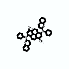 CC1=CC(N(c2ccccc2)c2ccc3ccccc3n2)C2=CCc3c(C)cc(N(c4ccccc4)c4ccc5ccccc5n4)c4ccc1c2c34